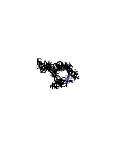 C#C/C(Cl)=C1\C=C/Cc2c(-c3ccc(F)cc3)sc3ncnc(c23)O[C@@H](C(=O)O)Cc2cc(ccc2OCc2ccnc(-c3cc(F)ccc3OC)n2)OC[C@@H](CN2CCN(C)CC2)O1